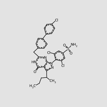 CCCC(C)c1nn(-c2c(Cl)cc(S(N)(=O)=O)cc2Cl)c2nc(Cc3ccc(-c4ccc(Cl)cc4)cc3)[nH]c(=O)c12